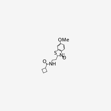 COc1ccc2c(c1)SC(CCNC(=O)C1CCC1)[N+]2=O